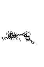 C/C=C/C1=CN2C(=O)c3cc(OC)c(OCCCCCOc4cc5c(cc4OC)C(=O)N4C=C(/C=C/C)C[C@H]4C(O)N5C(C)C)cc3N=C[C@@H]2C1